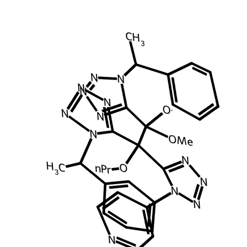 CCCOC(c1nnnn1-c1ccncc1)(c1nnnn1C(C)c1ccccc1)C([O])(OC)c1nnnn1C(C)c1ccccc1